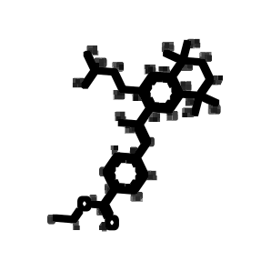 CCOC(=O)c1ccc(/C=C(\C)c2cc3c(cc2CCC(C)C)C(C)(C)CCC3(C)C)cc1